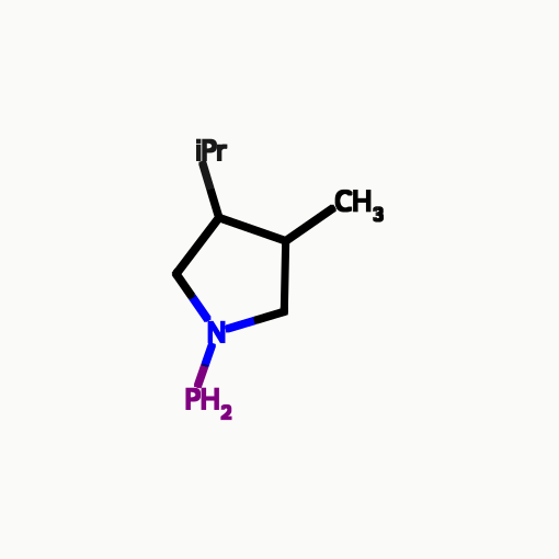 CC(C)C1CN(P)CC1C